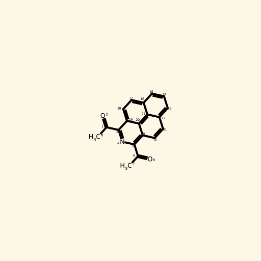 CC(=O)c1nc(C(C)=O)c2ccc3cccc4ccc1c2c43